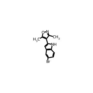 Cc1noc(C)c1-c1cc2cc(Br)ccc2[nH]1